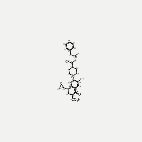 CN(CC(Cl)=C1CCN(c2nc3c(cc2F)c(=O)c(C(=O)O)cn3C2CC2)CC1)Cc1ccccc1